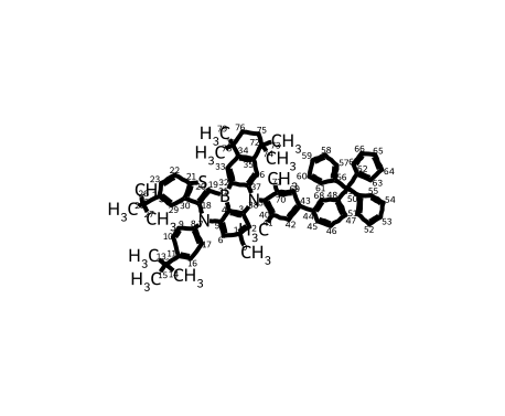 Cc1cc2c3c(c1)N(c1ccc(C(C)(C)C)cc1)c1c(sc4ccc(C(C)(C)C)cc14)B3c1cc3c(cc1N2c1c(C)cc(-c2cccc(C(c4ccccc4)(c4ccccc4)c4ccccc4)c2)cc1C)C(C)(C)CCC3(C)C